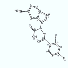 N#Cc1ccc2[nH]cc(C(CC(=O)c3ccc(F)cc3F)C(=O)O)c2c1